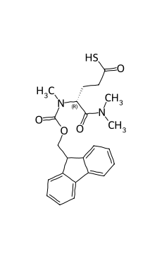 CN(C)C(=O)[C@@H](CCC(=O)S)N(C)C(=O)OCC1c2ccccc2-c2ccccc21